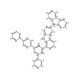 c1ccc(-c2ccc(-c3cc(-c4ccccc4)nc(-c4cccc5c4oc4ccc(-n6c7ccccc7c7ccccc76)cc45)n3)cc2)cc1